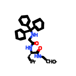 CC(C)C[C@H](NC(=O)CNC(c1ccccc1)(c1ccccc1)c1ccccc1)C(=O)NC[C]=O